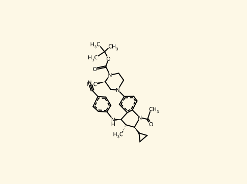 CC(=O)N1c2ccc(N3CCN(C(=O)OC(C)(C)C)[C@H](C)C3)cc2[C@H](Nc2ccc(C#N)cc2)[C@@H](C)[C@@H]1C1CC1